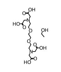 CCO.O=C(O)CN(CCOCCOCCN(CC(=O)O)CC(=O)O)CC(=O)O